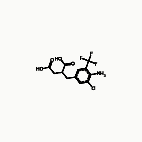 Nc1c(Cl)cc(CC(CC(=O)O)C(=O)O)cc1C(F)(F)F